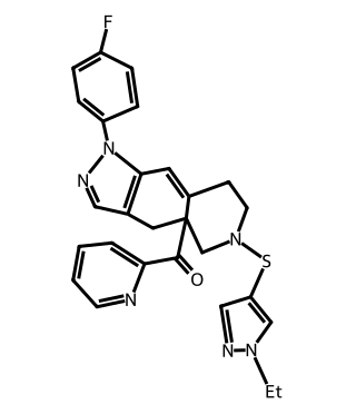 CCn1cc(SN2CCC3=Cc4c(cnn4-c4ccc(F)cc4)CC3(C(=O)c3ccccn3)C2)cn1